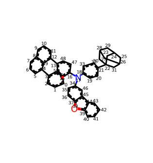 c1ccc(-c2cccc3cccc(-c4ccc(N(c5ccc(C67CC8CC(CC(C8)C6)C7)cc5)c5ccc6oc7ccccc7c6c5)cc4)c23)cc1